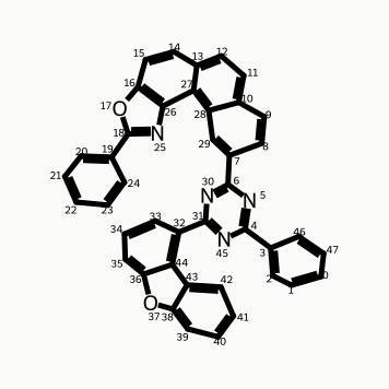 c1ccc(-c2nc(-c3ccc4ccc5ccc6oc(-c7ccccc7)nc6c5c4c3)nc(-c3cccc4oc5ccccc5c34)n2)cc1